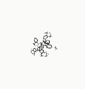 CC(C)(C)c1ccc2c3c(oc2c1)N(c1ccc2c(c1)C(C)(C)CCC2(C)C)c1cc(-c2ccccc2C(C)(C)C)cc2c1B3c1cc3c(cc1N2c1ccc2c(c1)C(C)(C)CCC2(C)C)C(C)(C)CCC3(C)C